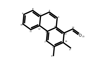 Cc1cc2c(ccc3ccccc32)c(C=O)c1C